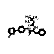 CC(C)(C)OC(=O)NC(Cc1ccccc1)C(=O)Nc1ccc(-c2cccc(F)n2)cc1